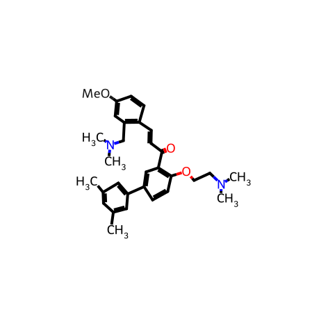 COc1ccc(C=CC(=O)c2cc(-c3cc(C)cc(C)c3)ccc2OCCN(C)C)c(CN(C)C)c1